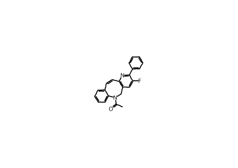 CC(=O)N1Cc2cc(F)c(-c3ccccc3)nc2C=Cc2ccccc21